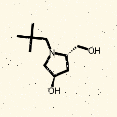 CC(C)(C)CN1C[C@H](O)C[C@H]1CO